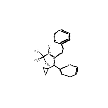 CC(C)(C)[S+]([O-])N(Cc1ccccc1)C(C1CC1)C1CCC=CO1